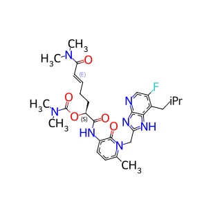 Cc1ccc(NC(=O)[C@H](CC/C=C/C(=O)N(C)C)OC(=O)N(C)C)c(=O)n1Cc1nc2ncc(F)c(CC(C)C)c2[nH]1